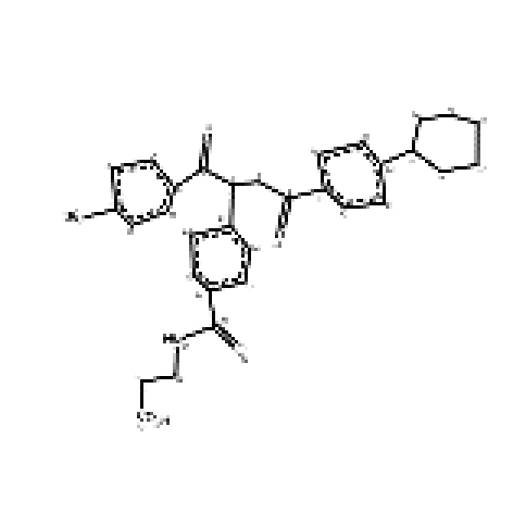 CC(C)(C)c1ccc(C(=O)C(CC(=O)c2ccc(C3CCCCC3)cc2)c2ccc(C(=O)NCCC(=O)O)cc2)cc1